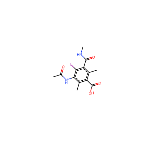 CNC(=O)c1c(C)c(C(=O)O)c(C)c(NC(C)=O)c1I